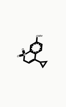 COc1ccc2c(c1)S(=O)(=O)CC=C2C1CC1